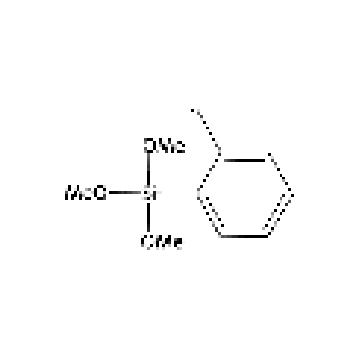 [CH2]c1ccccc1[Si](OC)(OC)OC